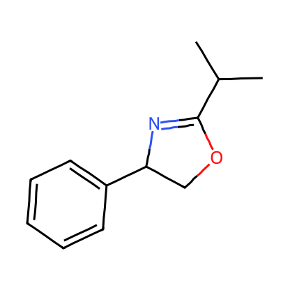 CC(C)C1=NC(c2ccccc2)CO1